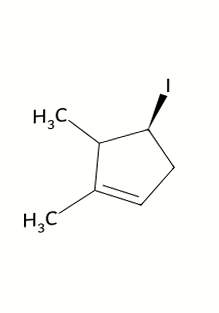 CC1=CC[C@H](I)C1C